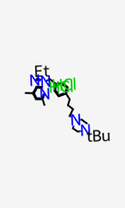 CCc1nc2c(C)cc(C)nc2n1Cc1ccc(CCCCN2CCN(C(C)(C)C)CC2)cc1.Cl.Cl